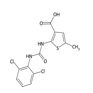 Cc1cc(C(=O)O)c(NC(=O)Nc2c(Cl)cccc2Cl)s1